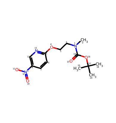 CN(CCOc1ccc([N+](=O)[O-])cn1)C(=O)OC(C)(C)C